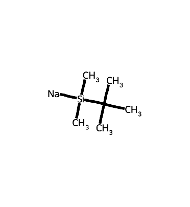 CC(C)(C)[Si](C)(C)[Na]